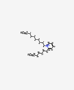 CCCCCCCCCCCCCCCCCC[n+]1ccccc1CCCCCCCCCCCCCCC